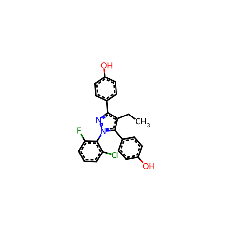 CCc1c(-c2ccc(O)cc2)nn(-c2c(F)cccc2Cl)c1-c1ccc(O)cc1